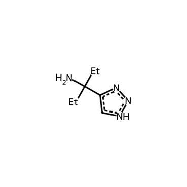 CCC(N)(CC)c1c[nH]nn1